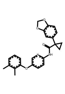 Cc1cccc(Oc2ccc(NC(=O)C3(c4ccc5c(c4)OCO5)CC3)nc2)c1C